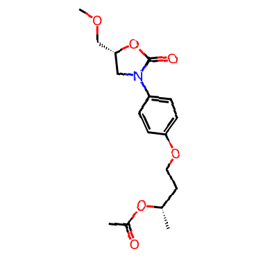 COC[C@H]1CN(c2ccc(OCC[C@H](C)OC(C)=O)cc2)C(=O)O1